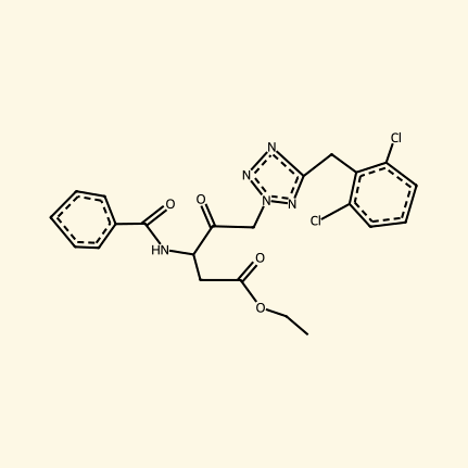 CCOC(=O)CC(NC(=O)c1ccccc1)C(=O)Cn1nnc(Cc2c(Cl)cccc2Cl)n1